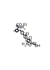 CCOC(=O)/N=C(\N)c1cc(C)ccc1CN1CCC(N2CCN(c3nc(N)c(C(=O)NCCO)nc3Cl)C[C@@H]2CC)CC1